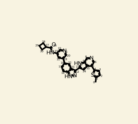 Cc1ccc(-c2cncc3[nH]c(-c4n[nH]c5ccc(-c6cncc(NC(=O)C7CCC7)c6)cc45)cc23)s1